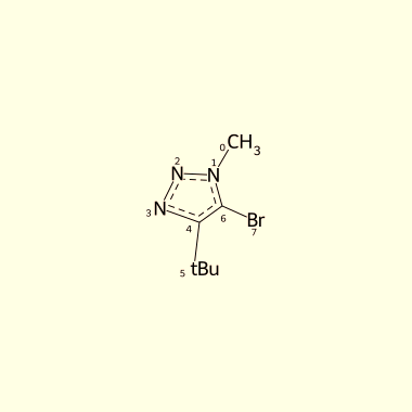 Cn1nnc(C(C)(C)C)c1Br